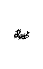 C[C@H]1COCCN1c1ccncc1NC(=O)c1ccnc(NC(=O)C2CC2)c1